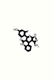 Nc1n[nH]c2nc(-c3ccc(O)cc3F)c3c(=O)[nH]c4ccccc4c3c12